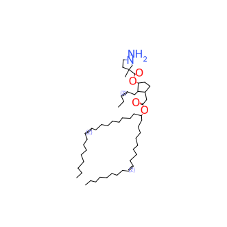 CC/C=C\CC1C(CC(=O)OC(CCCCCCCC/C=C\CCCCCCCC)CCCCCCCC/C=C\CCCCCCCC)CCC1OC(=O)C1(C)CCN(N)C1